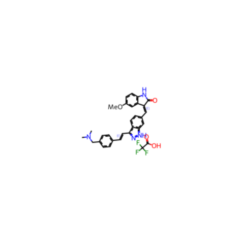 COc1ccc2c(c1)/C(=C\c1ccc3c(/C=C/c4ccc(CN(C)C)cc4)n[nH]c3c1)C(=O)N2.O=C(O)C(F)(F)F